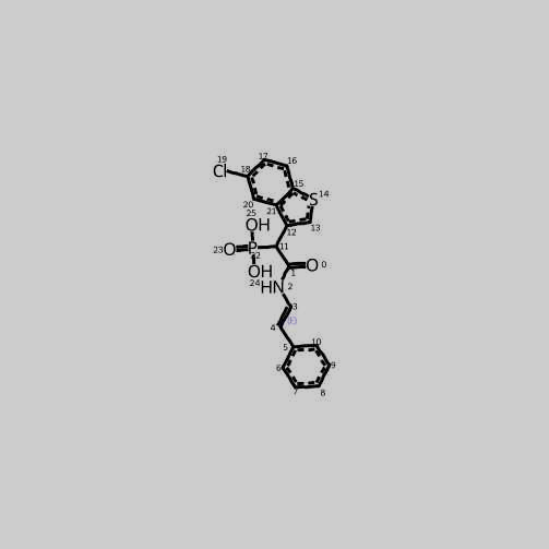 O=C(N/C=C/c1ccccc1)C(c1csc2ccc(Cl)cc12)P(=O)(O)O